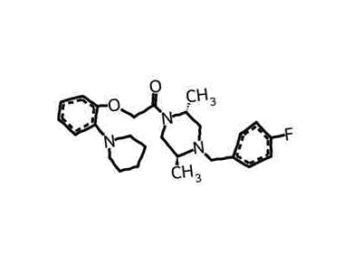 C[C@@H]1CN(Cc2ccc(F)cc2)[C@@H](C)CN1C(=O)COc1ccccc1N1CCCCC1